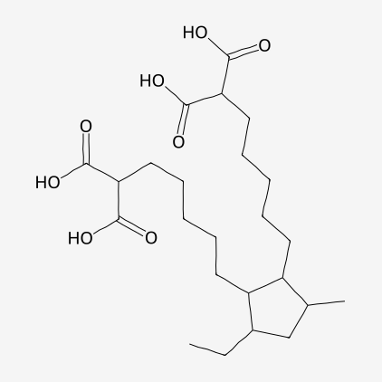 CCC1CC(C)C(CCCCCC(C(=O)O)C(=O)O)C1CCCCCC(C(=O)O)C(=O)O